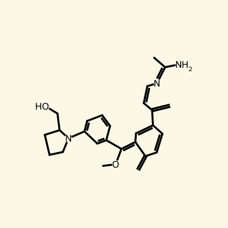 C=C(/C=C\N=C(/C)N)c1ccc(=C)/c(=C(\OC)c2cccc(N3CCCC3CO)c2)c1